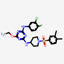 Cc1ccc(S(=O)(=O)N2CCC(Nc3nc(Nc4ccc(F)c(Cl)c4)nc(OCC(F)(F)F)n3)CC2)cc1C